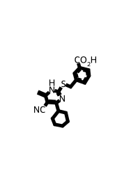 C=C1NC(SCc2cccc(C(=O)O)c2)=NC(C2CCCCC2)=C1C#N